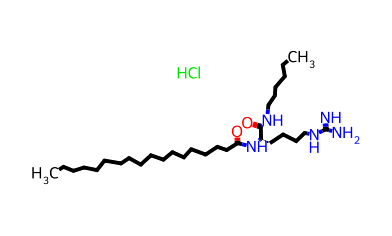 CCCCCCCCCCCCCCCCCC(=O)N[C@@H](CCCCNC(=N)N)C(=O)NCCCCCC.Cl